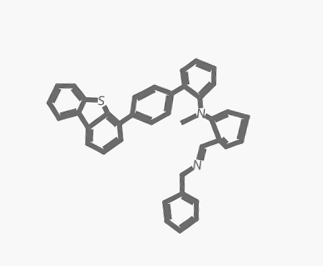 CN(c1ccccc1/C=N/Cc1ccccc1)c1ccccc1-c1ccc(-c2cccc3c2sc2ccccc23)cc1